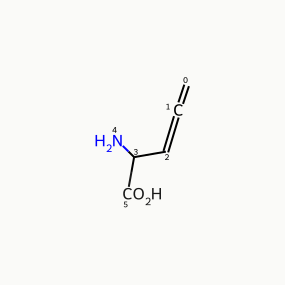 C=C=CC(N)C(=O)O